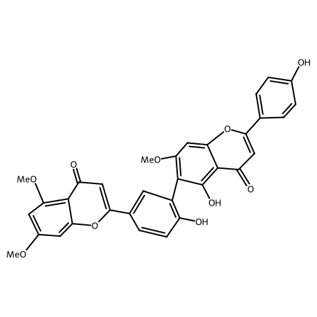 COc1cc(OC)c2c(=O)cc(-c3ccc(O)c(-c4c(OC)cc5oc(-c6ccc(O)cc6)cc(=O)c5c4O)c3)oc2c1